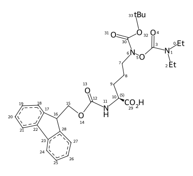 CCN(CC)C(=O)ON(CCC[C@H](NC(=O)OCC1c2ccccc2-c2ccccc21)C(=O)O)C(=O)OC(C)(C)C